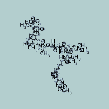 CCCN(CCc1c2c(nc3cc(F)c(C)cc13)-c1cc3c(c(=O)n1C2)COC(=O)[C@]3(O)CC)C(=O)COCNC(=O)CNC(=O)[C@H](CCCCN(C)C)NC(=O)[C@@H](NC(=O)CCCCCn1cc(-c2cnc(S(C)(=O)=O)nc2)nn1)C(C)C